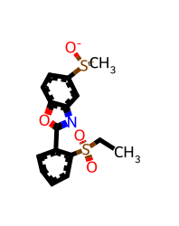 CCS(=O)(=O)c1ccccc1-c1nc2cc([S+](C)[O-])ccc2o1